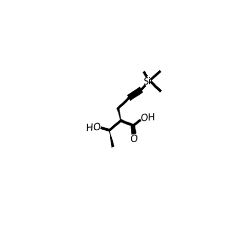 C[C@@H](O)[C@@H](CC#C[Si](C)(C)C)C(=O)O